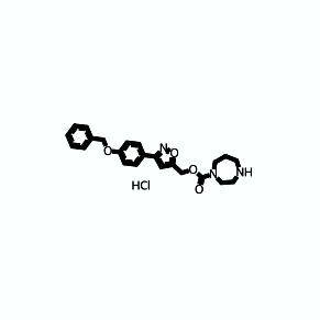 Cl.O=C(OCc1cc(-c2ccc(OCc3ccccc3)cc2)no1)N1CCCNCC1